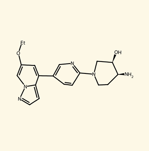 CCOc1cc(-c2ccc(N3CC[C@H](N)[C@H](O)C3)nc2)c2ccnn2c1